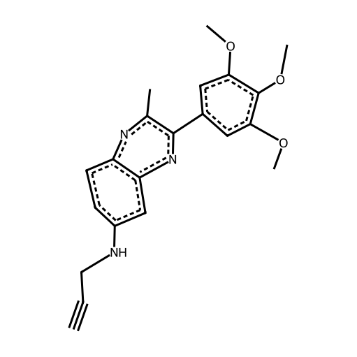 C#CCNc1ccc2nc(C)c(-c3cc(OC)c(OC)c(OC)c3)nc2c1